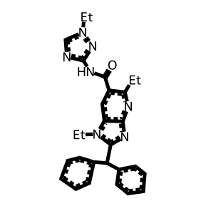 CCc1nc2nc(C(c3ccccc3)c3ccccc3)n(CC)c2cc1C(=O)Nc1ncn(CC)n1